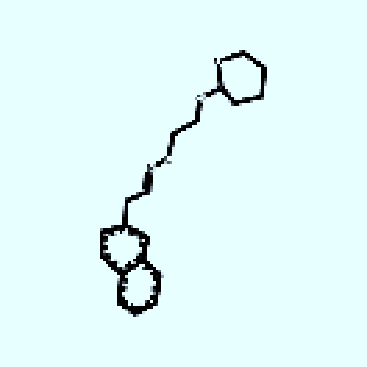 C(Cc1ccc2ccccc2c1)=NOCCOC1CCCCO1